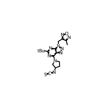 Cc1nonc1Cn1nnc2c(N3CCC(N=C=S)C3)nc(C(C)(C)C)nc21